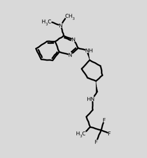 CC(CCNC[C@H]1CC[C@@H](Nc2nc(N(C)C)c3ccccc3n2)CC1)C(F)(F)F